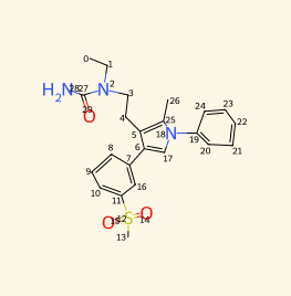 CCN(CCc1c(-c2cccc(S(C)(=O)=O)c2)cn(-c2ccccc2)c1C)C(N)=O